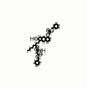 CCCCCC(CCC1C(O)CC2Cc3c(cccc3OCC(=O)OCc3ccccc3)CC21)OOC(=N)CC(=O)OCc1ccccc1